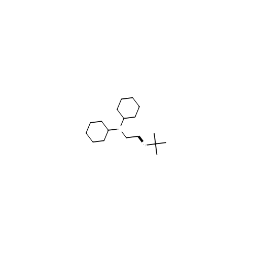 CC(C)(C)N=CCP(C1CCCCC1)C1CCCCC1